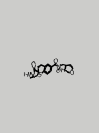 O=C(c1ccc2c(c1)CCC1(CCNC1=O)S2)N(O)CC1CCOCC1